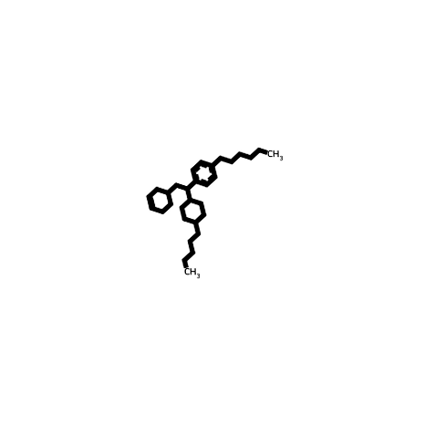 CCCCCCc1ccc(C(CC2CC=CCC2)C2CCC(CCCCC)CC2)cc1